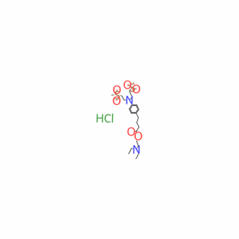 CCN(CC)CCOC(=O)CCCc1ccc(N(CCS(C)(=O)=O)CCS(C)(=O)=O)cc1.Cl